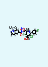 COc1cc(C(=O)NCC(O)(c2nc(-c3ccc(F)cc3)c(Cl)c(C(C)(C)O)c2F)C(F)(F)F)cc2cc(C)cnc12